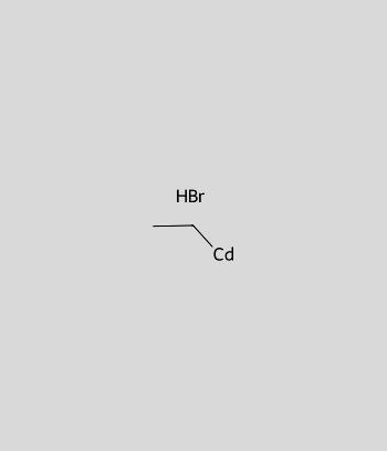 Br.C[CH2][Cd]